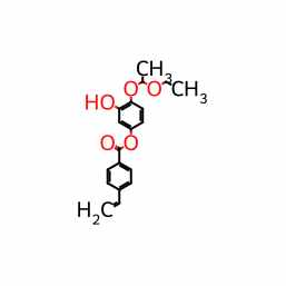 C=Cc1ccc(C(=O)Oc2ccc(OC(C)OCC)c(O)c2)cc1